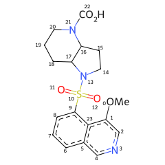 COc1cncc2cccc(S(=O)(=O)N3CCC4C3CCCN4C(=O)O)c12